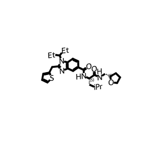 CCC(CC)n1c(Cc2cccs2)nc2cc(C(=O)N[C@@H](CC(C)C)C(=O)NC[C@@H]3CCCO3)ccc21